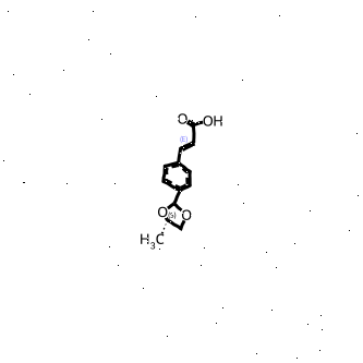 C[C@H]1COC(c2ccc(/C=C/C(=O)O)cc2)O1